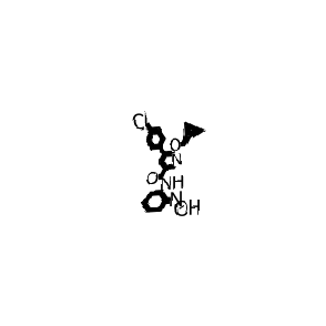 O=C(N[C@H]1CCCC/C1=N\O)c1cnc(OCC2CC2)c(-c2ccc(Cl)cc2)c1